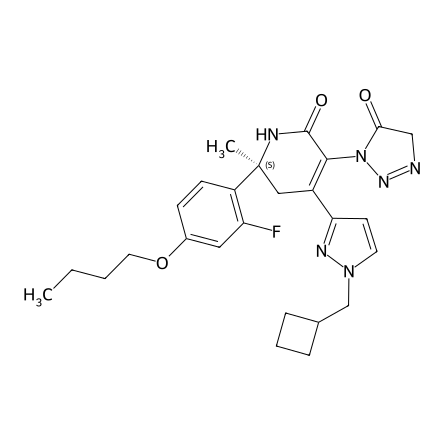 CCCCOc1ccc([C@]2(C)CC(c3ccn(CC4CCC4)n3)=C(N3N=NCC3=O)C(=O)N2)c(F)c1